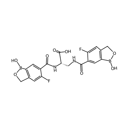 O=C(NC[C@H](NC(=O)c1cc2c(cc1F)COB2O)C(=O)O)c1cc2c(cc1F)COB2O